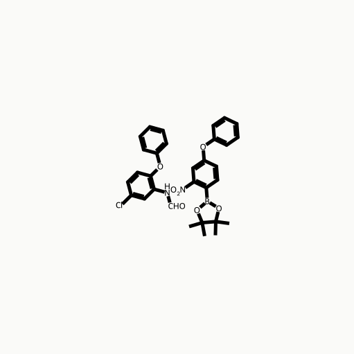 CC1(C)OB(c2ccc(Oc3ccccc3)cc2[N+](=O)[O-])OC1(C)C.O=CNc1cc(Cl)ccc1Oc1ccccc1